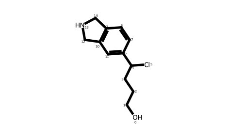 OCCCC(Cl)c1ccc2c(c1)CNC2